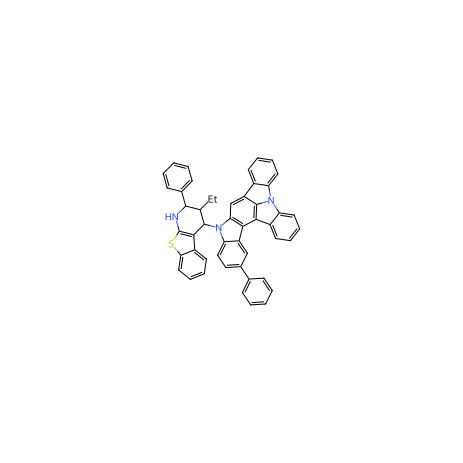 CCC1C(c2ccccc2)Nc2sc3ccccc3c2C1n1c2ccc(-c3ccccc3)cc2c2c3c4ccccc4n4c5ccccc5c(cc21)c34